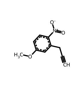 C#CCc1cc(OC)ccc1[N+](=O)[O-]